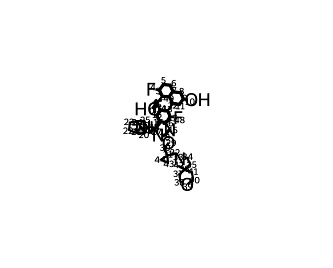 C#Cc1c(F)ccc2cc(O)cc(-c3c(F)cc4c(N5CC6CCC(C5)N6)nc(OCC5(CN6CCC7(CCOCC7)C6)CC5)nc4c3F)c12